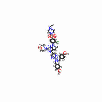 CCN1CCN(S(=O)(=O)c2ccc(N3CCc4c(-c5cnc(N(Cc6ccc(OC)cc6)Cc6ccc(OC)cc6)nc5)nc(N5CCOCC5)nc43)c(F)c2)CC1